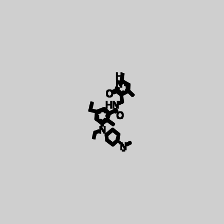 CCc1cc(C(=O)NCc2c(C)cc(C)[nH]c2=O)c(C)c(N(CC)[C@H]2CC[C@H](N(C)C)CC2)c1